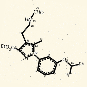 CCOC(=O)c1nn(-c2cccc(OC(F)F)c2)c(C)c1CCNC=O